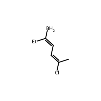 B/C(=C/C=C(\C)Cl)CC